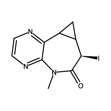 CN1C(=O)[C@H](I)C2CC2c2nccnc21